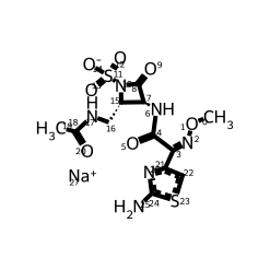 CO/N=C(\C(=O)N[C@H]1C(=O)N(S(=O)(=O)[O-])[C@H]1CNC(C)=O)c1csc(N)n1.[Na+]